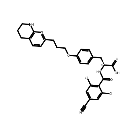 N#Cc1cc(Cl)c(C(=O)N[C@@H](Cc2ccc(OCCCc3ccc4c(n3)NCCC4)cc2)C(=O)O)c(Cl)c1